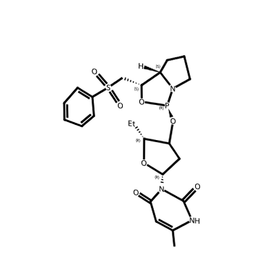 CC[C@H]1O[C@@H](n2c(=O)cc(C)[nH]c2=O)CC1O[P@@]1O[C@H](CS(=O)(=O)c2ccccc2)[C@@H]2CCCN21